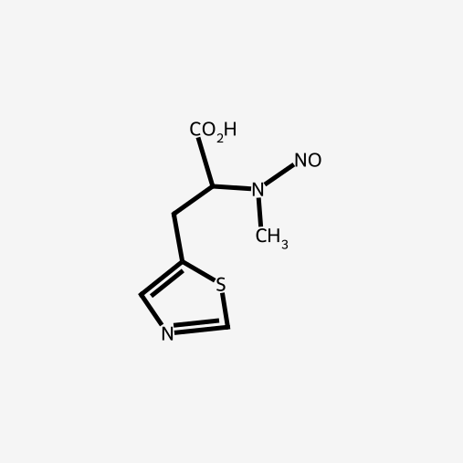 CN(N=O)C(Cc1cncs1)C(=O)O